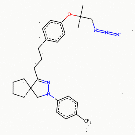 CC(C)(CN=[N+]=[N-])Oc1ccc(CCCC2=NN(c3ccc(C(F)(F)F)cc3)CC23CCCC3)cc1